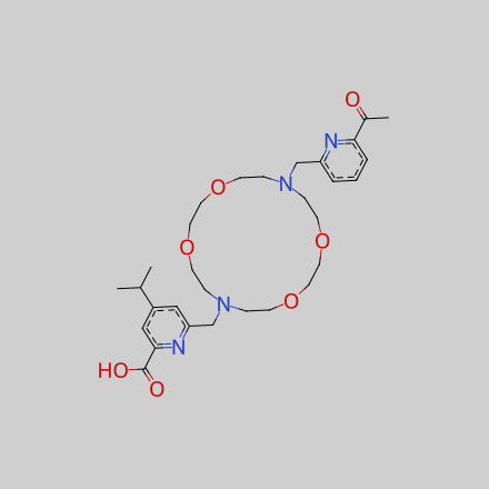 CC(=O)c1cccc(CN2CCOCCOCCN(Cc3cc(C(C)C)cc(C(=O)O)n3)CCOCCOCC2)n1